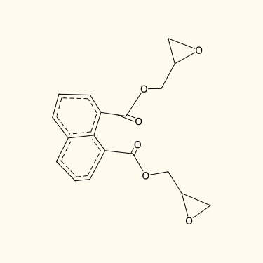 O=C(OCC1CO1)c1cccc2cccc(C(=O)OCC3CO3)c12